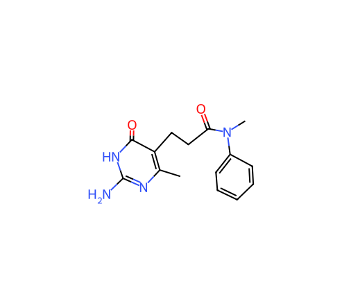 Cc1nc(N)[nH]c(=O)c1CCC(=O)N(C)c1ccccc1